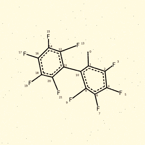 Cc1c(F)c(F)c(F)c(F)c1-c1c(F)c(F)c(F)c(F)c1F